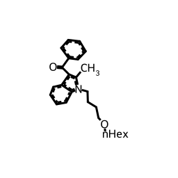 CCCCCCOCCCCn1c(C)c(C(=O)c2ccccc2)c2ccccc21